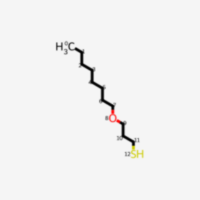 CCCCCCCCOCCCS